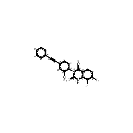 O=c1[nH]c2c(F)c(F)ccc2c(=O)n1-c1ccc(C#Cc2ccccc2)cc1Cl